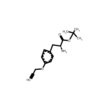 C#CCOc1ccc(C[C@H](N)C(=O)OC(C)(C)C)cc1